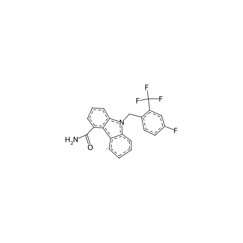 NC(=O)c1cccc2c1c1[c]cccc1n2Cc1ccc(F)cc1C(F)(F)F